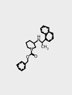 C[C@@H](NC1CCCN(C(=O)OCc2ccccc2)C1)c1cccc2ccccc12